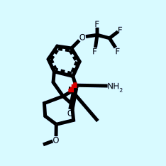 COC1CCC2(CC1)Cc1ccc(OC(F)(F)C(F)F)cc1C21N=C(N)N(C)C1=O